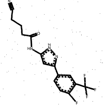 N#CCCCC(=O)Nc1cc(-c2ccc(F)c(C(F)(F)F)c2)n[nH]1